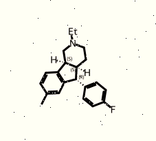 CCN1CC[C@H]2[C@H](c3ccc(F)cc3)c3cc(C)ccc3[C@H]2C1